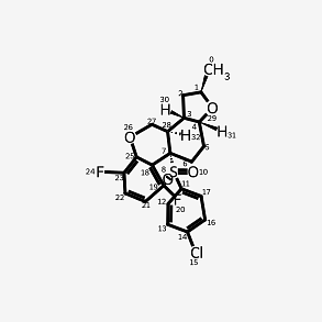 C[C@@H]1C[C@@H]2[C@@H](CC[C@@]3(S(=O)(=O)c4ccc(Cl)cc4)c4c(F)ccc(F)c4OC[C@@H]23)O1